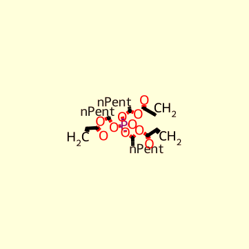 C=CC(=O)OC(CCCCC)OP(=O)(OC(CCCCC)OC(=O)C=C)OC(CCCCC)OC(=O)C=C